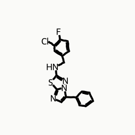 Fc1ccc(CNc2nn3c(-c4ccccc4)cnc3s2)cc1Cl